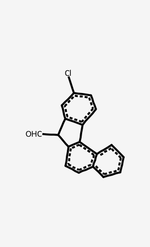 O=CC1c2cc(Cl)ccc2-c2c1ccc1ccccc21